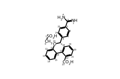 CS(=O)(=O)O.N=C(N)c1ccc(COc2ccccc2-c2ccccc2C(=O)O)cc1